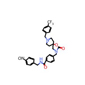 O=Nc1ccc(CNC(=O)c2ccc(CN3CC4(CCN(Cc5ccc(C(F)(F)F)cc5)CC4)OC3=O)cc2)cc1